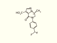 C[C@H]1CN(c2ccc(C(F)F)cc2)C(=O)c2c(C(=O)O)cnn21